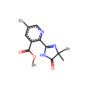 CCc1cnc(C2=NC(C)(C(C)C)C(=O)N2)c(C(=O)OC(C)C)c1